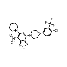 O=[N+]([O-])c1c(N2CCCCC2)cc(N2CCN(c3ccc(Cl)c(C(F)(F)F)c3)CC2)c2nonc12